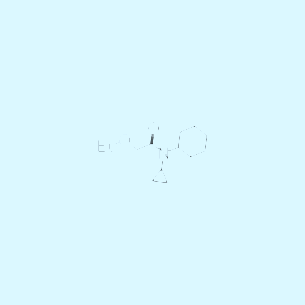 CCOCC(=O)N(C1CCCCC1)C1CC1